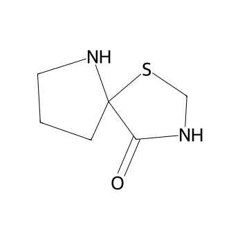 O=C1NCSC12CCCN2